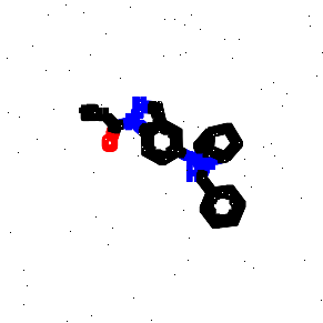 CC(C)(C)C(=O)n1ncc2cc(NC3C4CCC3N(Cc3ccccc3)C4)ccc21